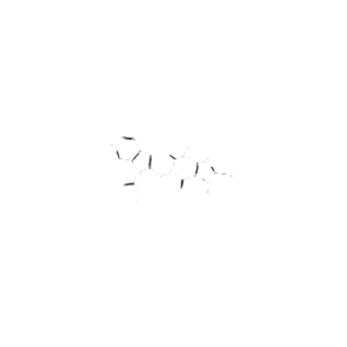 Cn1c(Br)nc2c1c(=O)n(Cc1cc3ccncc3n1C(=O)OC(C)(C)C)c(=O)n2C